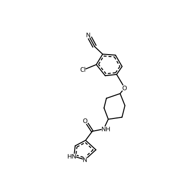 N#Cc1ccc(OC2CCC(NC(=O)c3cn[nH]c3)CC2)cc1Cl